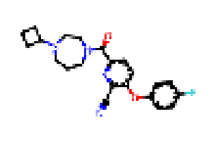 N#Cc1nc(C(=O)N2CCCN(C3CCC3)CC2)ccc1Oc1ccc(F)cc1